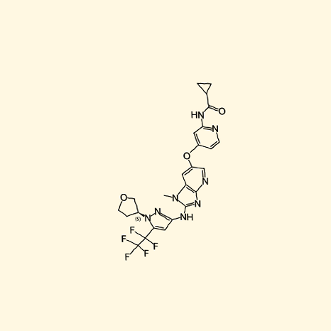 Cn1c(Nc2cc(C(F)(F)C(F)(F)F)n([C@H]3CCOC3)n2)nc2ncc(Oc3ccnc(NC(=O)C4CC4)c3)cc21